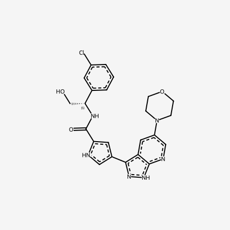 O=C(N[C@H](CO)c1cccc(Cl)c1)c1cc(-c2n[nH]c3ncc(N4CCOCC4)cc23)c[nH]1